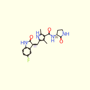 Cc1[nH]c(/C=C2\C(=O)Nc3ccc(F)cc32)c(C)c1C(=O)N[C@H]1CCNC1=O